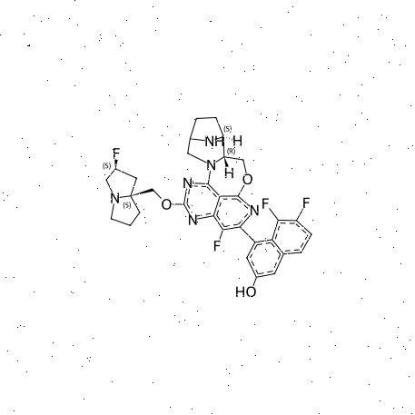 Oc1cc(-c2nc3c4c(nc(OC[C@@]56CCCN5C[C@@H](F)C6)nc4c2F)N2CC4CC[C@H](N4)[C@@H]2CO3)c2c(F)c(F)ccc2c1